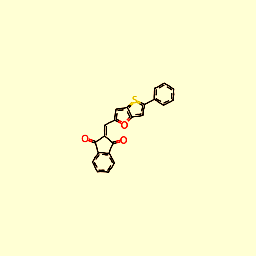 O=C1C(=Cc2cc3sc(-c4ccccc4)cc3o2)C(=O)c2ccccc21